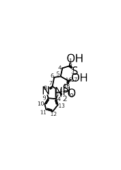 O.OC(=S)CC(Cc1nc2ccccc2[nH]1)C(O)=S